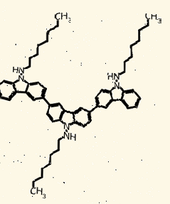 CCCCCCCCNn1c2ccccc2c2cc(-c3ccc4c(c3)c3cc(-c5ccc6c(c5)c5ccccc5n6NCCCCCCCC)ccc3n4NCCCCCCCC)ccc21